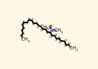 CCCCC/C=C\C/C=C\CCCCCCCC(CCCCCCCCC)N(C)C